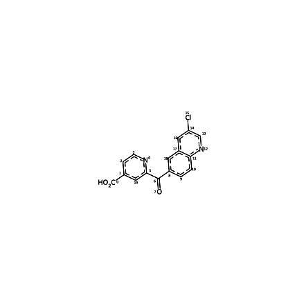 O=C(O)c1ccnc(C(=O)c2ccc3ncc(Cl)cc3c2)c1